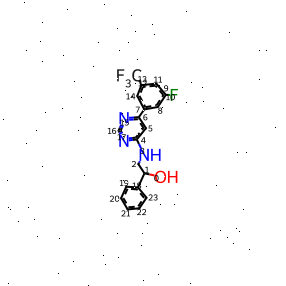 OC(CNc1cc(-c2cc(F)cc(C(F)(F)F)c2)ncn1)c1ccccc1